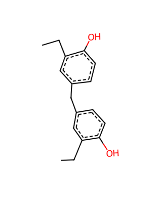 CCc1cc(Cc2ccc(O)c(CC)c2)ccc1O